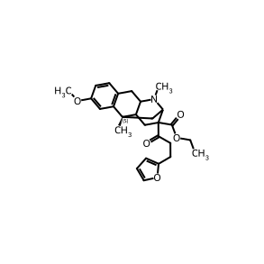 CCOC(=O)C1(C(=O)CCc2ccco2)CC2C3Cc4ccc(OC)cc4[C@@]2(C)CC1N3C